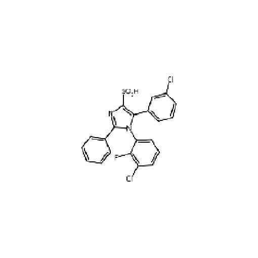 O=S(=O)(O)c1nc(-c2ccccc2)n(-c2cccc(Cl)c2F)c1-c1cccc(Cl)c1